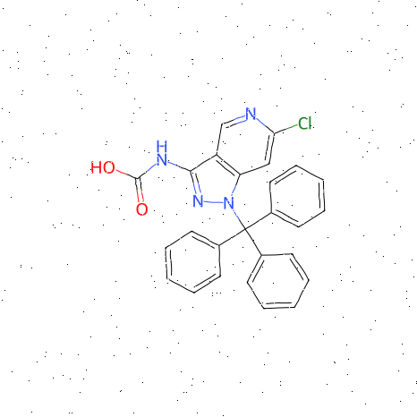 O=C(O)Nc1nn(C(c2ccccc2)(c2ccccc2)c2ccccc2)c2cc(Cl)ncc12